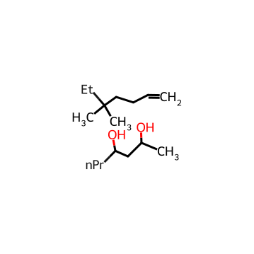 C=CCCC(C)(C)CC.CCCC(O)CC(C)O